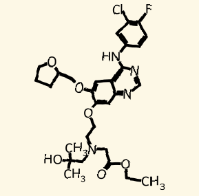 CCOC(=O)CN(CCOc1cc2ncnc(Nc3ccc(F)c(Cl)c3)c2cc1OCC1CCCO1)CC(C)(C)O